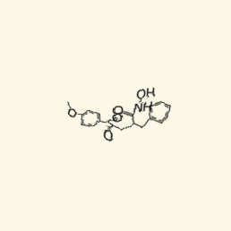 COc1ccc(S(=O)(=O)CC(Cc2ccccc2)C(=O)NO)cc1